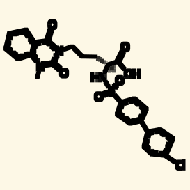 Cn1c(=O)n(CCC[C@@H](NS(=O)(=O)c2ccc(-c3ccc(Cl)cc3)cc2)C(=O)O)c(=O)c2ccccc21